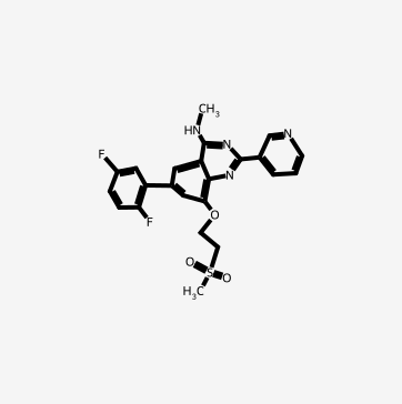 CNc1nc(-c2cccnc2)nc2c(OCCS(C)(=O)=O)cc(-c3cc(F)ccc3F)cc12